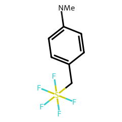 CNc1ccc(CS(F)(F)(F)(F)F)cc1